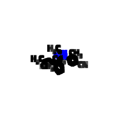 C=C(C)CC(C)(CCC)c1ccccc1-c1nc(C)nn1-c1ccc(C#N)cc1C